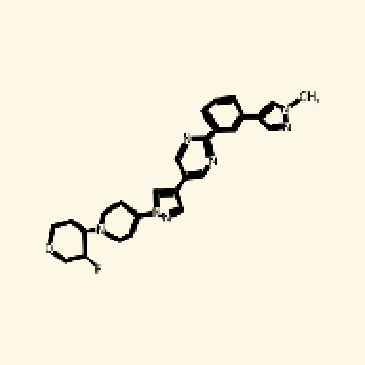 Cn1cc(-c2cccc(-c3ncc(-c4cnn(C5CCN([C@@H]6CCOC[C@@H]6F)CC5)c4)cn3)c2)cn1